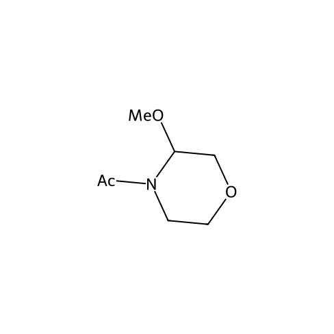 COC1COCCN1C(C)=O